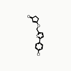 O=C1C=C(OCc2ccc(-c3ccc(Cl)cc3)s2)CC1